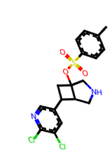 Cc1ccc(S(=O)(=O)OC23CNCC2C(c2cnc(Cl)c(Cl)c2)C3)cc1